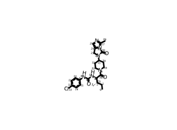 CC[C@H](C)[C@@H](NC(=O)Nc1ccc(Cl)cc1)C(=O)N1CCC(N2Cc3cnc(C)n3C2=O)CC1